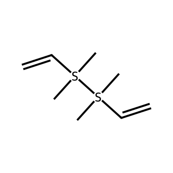 C=CS(C)(C)S(C)(C)C=C